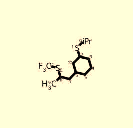 CC(C)SC1CCCC(CC(C)SC(F)(F)F)C1